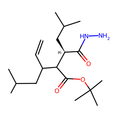 C=CC(CC(C)C)C(C(=O)OC(C)(C)C)[C@@H](CC(C)C)C(=O)NN